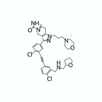 C[C@@H]1COCCN1CCCn1nc(-c2ccc(Cl)c(C#Cc3ccc(Cl)c(CNCC4CCCO4)c3)c2)c2c1CCN(C(N)=O)C2